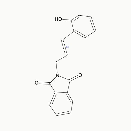 O=C1c2ccccc2C(=O)N1C/C=C/c1ccccc1O